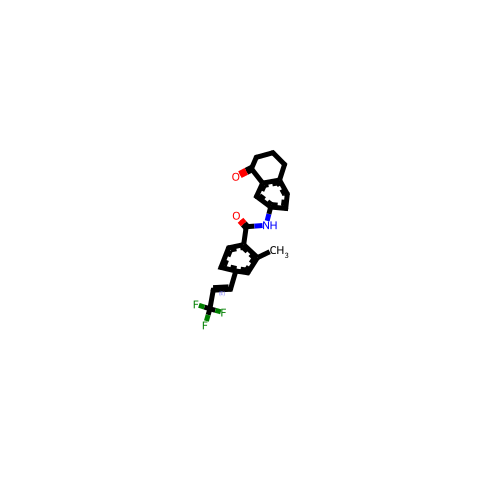 Cc1cc(/C=C/C(F)(F)F)ccc1C(=O)Nc1ccc2c(c1)C(=O)CCC2